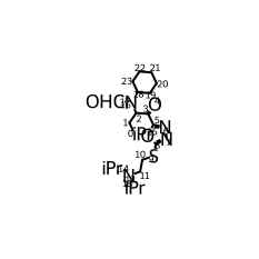 CC(C)CC(C(=O)c1nnc(SCCN(C(C)C)C(C)C)o1)N(C=O)C1CCCCC1